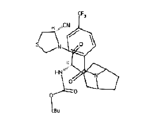 CC(C)(C)OC(=O)N[C@H](C(=O)N1CSC[C@@H]1C#N)C1CC2CCC(C1)N2C(=O)c1ccc(C(F)(F)F)cc1